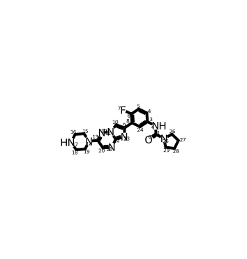 O=C(Nc1ccc(F)c(-c2cn3nc(N4CCNCC4)cnc3n2)c1)N1CCCC1